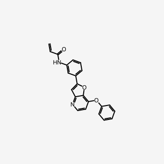 C=CC(=O)Nc1cccc(-c2cc3nccc(Oc4ccccc4)c3o2)c1